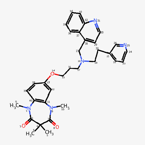 CN1C(=O)C(C)(C)C(=O)N(C)c2cc(OCCCN(CCc3cccnc3)Cc3ccnc4ccccc34)ccc21